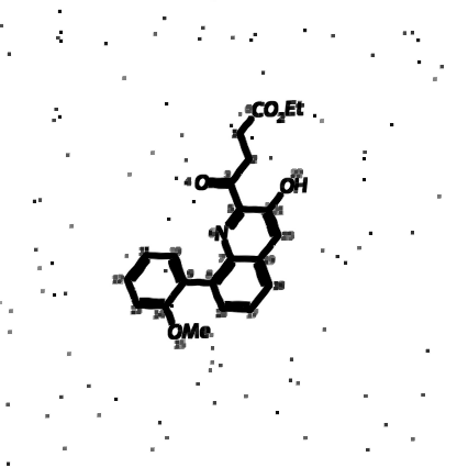 CCOC(=O)CCC(=O)c1nc2c(-c3ccccc3OC)cccc2cc1O